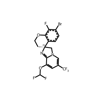 Fc1c(Br)ccc2c1OCC[C@@]21CN2C=C(C(F)(F)F)C=C(OC(F)F)C2=N1